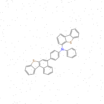 c1ccc(N(c2ccc(-c3cc4sc5ccccc5c4c4ccccc34)cc2)c2cccc3c2sc2ccccc23)cc1